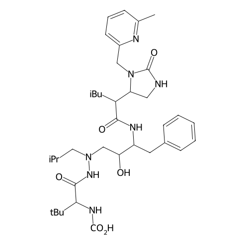 CCC(C)C(C(=O)NC(Cc1ccccc1)C(O)CN(CC(C)C)NC(=O)C(NC(=O)O)C(C)(C)C)C1CNC(=O)N1Cc1cccc(C)n1